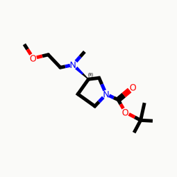 COCCN(C)[C@@H]1CCN(C(=O)OC(C)(C)C)C1